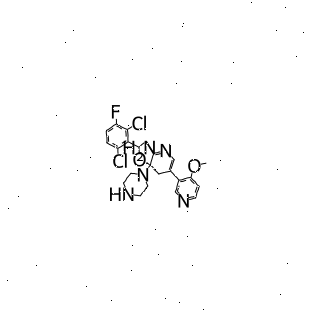 COc1ccncc1C1=CN=C(N)[C@@](OC(C)c2c(Cl)ccc(F)c2Cl)(N2CCNCC2)C1